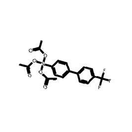 CC(=O)O[Si](OC(C)=O)(OC(C)=O)c1ccc(-c2ccc(C(F)(F)F)cc2)cc1